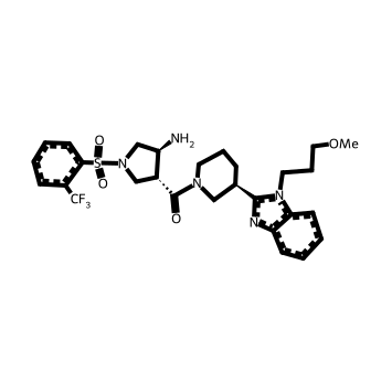 COCCCn1c([C@@H]2CCCN(C(=O)[C@@H]3CN(S(=O)(=O)c4ccccc4C(F)(F)F)C[C@H]3N)C2)nc2ccccc21